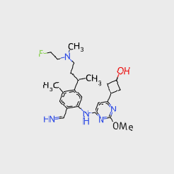 COc1nc(Nc2cc(C(C)CCN(C)CCF)c(C)cc2C=N)cc(C2CC(O)C2)n1